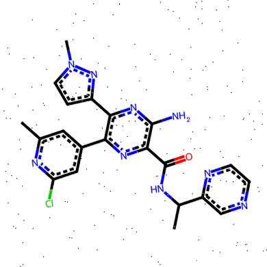 Cc1cc(-c2nc(C(=O)NC(C)c3cnccn3)c(N)nc2-c2ccn(C)n2)cc(Cl)n1